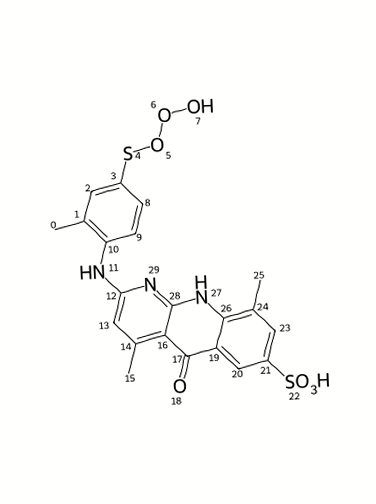 Cc1cc(SOOO)ccc1Nc1cc(C)c2c(=O)c3cc(S(=O)(=O)O)cc(C)c3[nH]c2n1